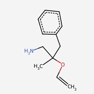 C=COC(C)(CN)Cc1ccccc1